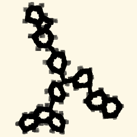 c1cc(-c2ccc3ccccc3c2)cc(N(c2ccc(-c3ccc4c(c3)sc3ccccc34)cc2)c2ccc(-c3cc4ccccc4c4ccccc34)cc2)c1